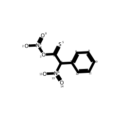 O=[N+]([O-])OC(=S)C(c1ccccc1)[N+](=O)[O-]